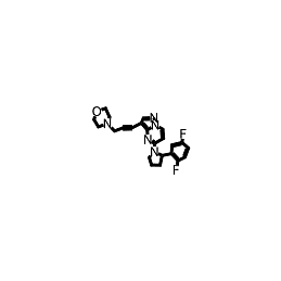 Fc1ccc(F)c(C2CCCN2c2ccn3ncc(C#CCN4CCOCC4)c3n2)c1